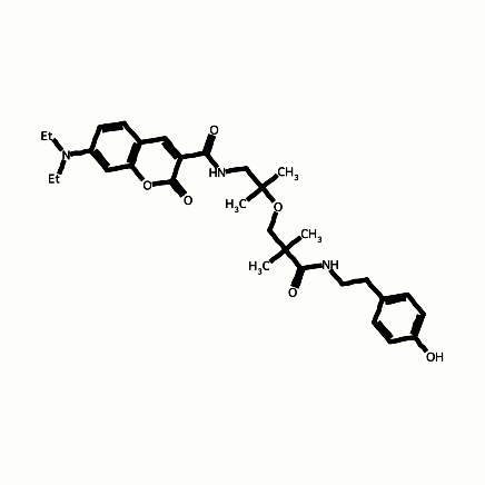 CCN(CC)c1ccc2cc(C(=O)NCC(C)(C)OCC(C)(C)C(=O)NCCc3ccc(O)cc3)c(=O)oc2c1